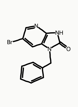 O=c1[nH]c2ncc(Br)cc2n1Cc1ccccc1